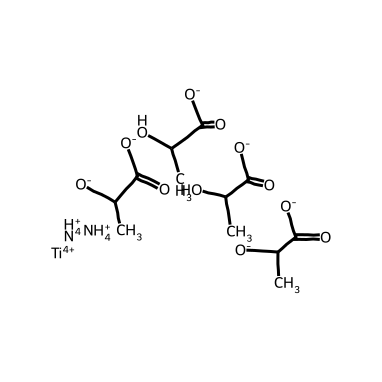 CC(O)C(=O)[O-].CC(O)C(=O)[O-].CC([O-])C(=O)[O-].CC([O-])C(=O)[O-].[NH4+].[NH4+].[Ti+4]